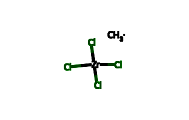 [CH3].[Cl][Zr]([Cl])([Cl])[Cl]